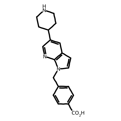 O=C(O)c1ccc(Cn2ccc3cc(C4CCNCC4)cnc32)cc1